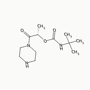 C[C@H](OC(=O)NC(C)(C)C)C(=O)N1CCNCC1